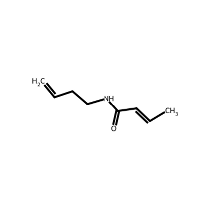 C=CCCNC(=O)/C=C/C